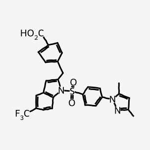 Cc1cc(C)n(-c2ccc(S(=O)(=O)n3c(Cc4ccc(C(=O)O)cc4)cc4cc(C(F)(F)F)ccc43)cc2)n1